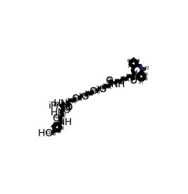 C/C1=C/c2ccccc2CN(C(=O)CCCCCNC(=O)CCOCCOCCOCCOCCC(=O)N[C@H](C(=O)NCC(=O)Nc2ccc(CO)cc2)C(C)C)c2ccccc21